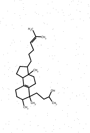 CC(C)=CCCCC1CCC2C3=C(CCC12C)C(C)(CCC(C)O)C(C)CC3